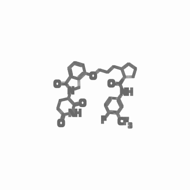 O=C1CCC(N2Cc3c(OCCCC4CCC[C@H]4C(=O)Nc4ccc(F)c(C(F)(F)F)c4)cccc3C2=O)C(=O)N1